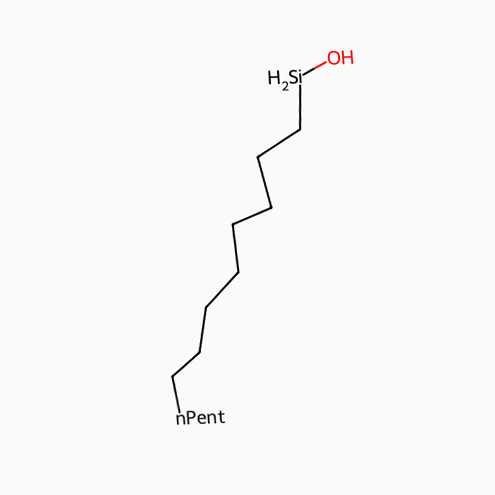 CCCCCCCCCCCCC[SiH2]O